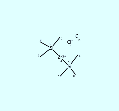 C[Si](C)(C)[Zr+2][Si](C)(C)C.[Cl-].[Cl-]